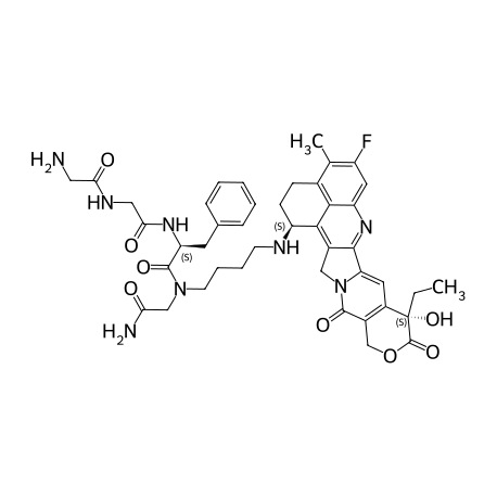 CC[C@@]1(O)C(=O)OCc2c1cc1n(c2=O)Cc2c-1nc1cc(F)c(C)c3c1c2[C@@H](NCCCCN(CC(N)=O)C(=O)[C@H](Cc1ccccc1)NC(=O)CNC(=O)CN)CC3